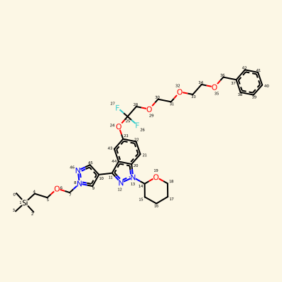 C[Si](C)(C)CCOCn1cc(-c2nn(C3CCCCO3)c3ccc(OC(F)(F)COCCOCCOCc4ccccc4)cc23)cn1